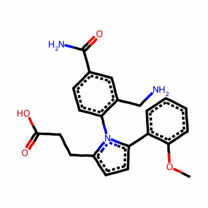 COc1ccccc1-c1ccc(CCC(=O)O)n1-c1ccc(C(N)=O)cc1CN